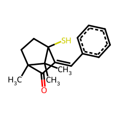 CC12CCC(S)(C(=Cc3ccccc3)C1=O)C2(C)C